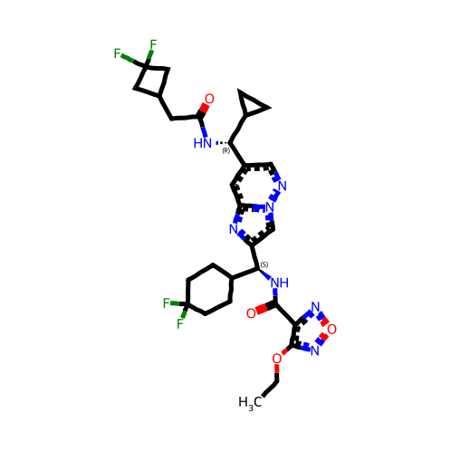 CCOc1nonc1C(=O)N[C@H](c1cn2ncc([C@H](NC(=O)CC3CC(F)(F)C3)C3CC3)cc2n1)C1CCC(F)(F)CC1